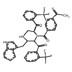 CC(=O)c1ccc(C(=O)N2C(C(=O)c3ccccc3C(F)(F)F)CNC(Cc3c[nH]c4ccccc34)C2C(=O)c2ccccc2C(F)(F)F)cc1